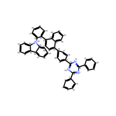 c1ccc(-c2nc(-c3ccccc3)nc(-c3ccc(-c4ccc(-c5ccccc5-n5c6ccccc6c6ccccc65)c5ccccc45)cc3)n2)cc1